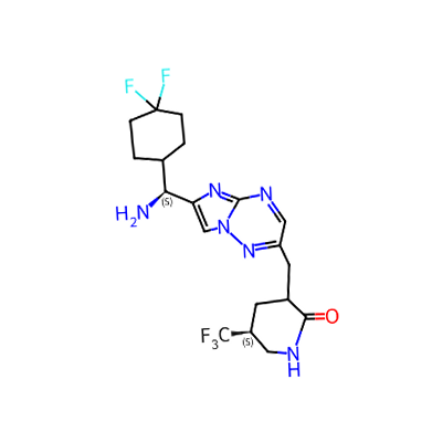 N[C@H](c1cn2nc(CC3C[C@H](C(F)(F)F)CNC3=O)cnc2n1)C1CCC(F)(F)CC1